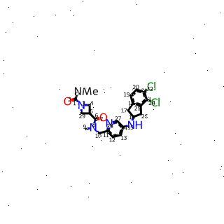 CNC(=O)N1CC(C(=O)N(C)Cc2ccc(NC3Cc4ccc(Cl)c(Cl)c4C3)cn2)C1